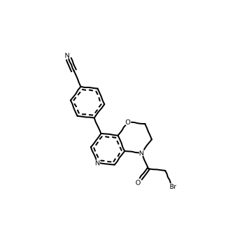 N#Cc1ccc(-c2cncc3c2OCCN3C(=O)CBr)cc1